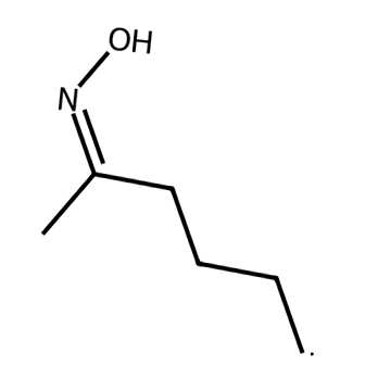 [CH2]CCC/C(C)=N\O